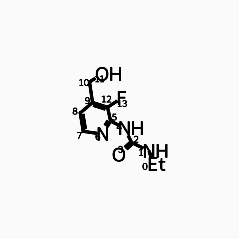 CCNC(=O)Nc1nccc(CO)c1F